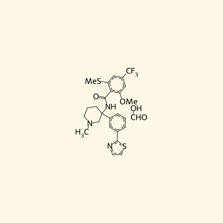 COc1cc(C(F)(F)F)cc(SC)c1C(=O)NC1(c2cccc(-c3nccs3)c2)CCCN(C)C1.O=CO